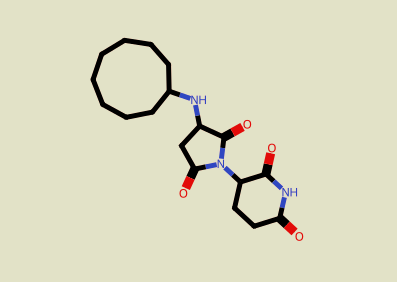 O=C1CCC(N2C(=O)CC(NC3CCCCCCCC3)C2=O)C(=O)N1